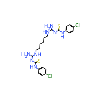 NC(=NC(=S)Nc1ccc(Cl)cc1)NCCCCCCNC(N)=NC(=S)Nc1ccc(Cl)cc1